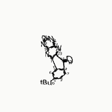 CC(C)(C)c1ccc2c(c1)-c1nc3nonc3nc1C2=O